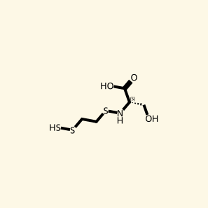 O=C(O)[C@H](CO)NSCCSS